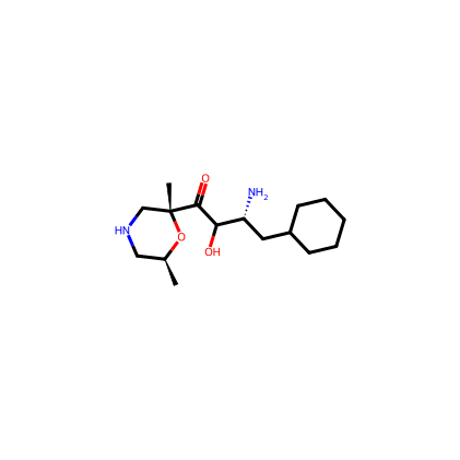 C[C@H]1CNC[C@](C)(C(=O)C(O)[C@H](N)CC2CCCCC2)O1